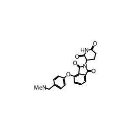 CNCc1ccc(Oc2cccc3c2C(=O)N(C2CCC(=O)NC2=O)C3=O)cc1